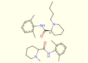 CCCCN1CCCC[C@H]1C(=O)Nc1c(C)cccc1C.Cc1cccc(C)c1NC(=O)C1CCCCN1C